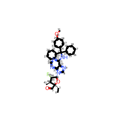 CC[C@@]1(C=O)O[C@@H](n2cnc3c(NC(c4ccccc4)(c4ccccc4)c4ccc(OC)cc4)ncnc32)[C@H](F)[C@@H]1C